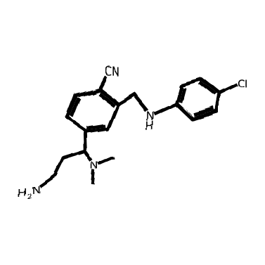 CN(C)C(CCN)c1ccc(C#N)c(CNc2ccc(Cl)cc2)c1